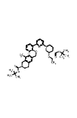 CCO[C@@H]1CN(c2cccc(-c3cccc(Cl)c3OCc3cc(C)c4c(c3)CCN(C(=O)OC(C)(C)C)C4)n2)CC[C@@H]1C(=O)OC(C)(C)C